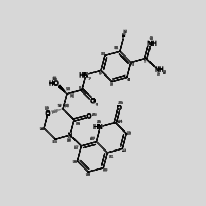 N=C(N)c1ccc(NC(=O)[C@H](O)[C@H]2OCCN(c3cccc4ccc(=O)[nH]c34)C2=O)cc1F